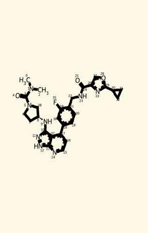 CN(C)C(=O)N1CC[C@@H](Nc2n[nH]c3nccc(-c4ccc(CNC(=O)c5coc(C6CC6)n5)c(F)c4)c23)C1